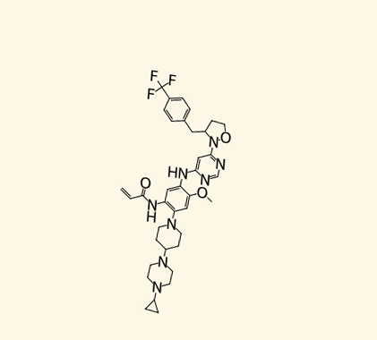 C=CC(=O)Nc1cc(Nc2cc(N3OCCC3Cc3ccc(C(F)(F)F)cc3)ncn2)c(OC)cc1N1CCC(N2CCN(C3CC3)CC2)CC1